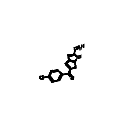 O=C(O)c1cc2cc(C(=O)c3ccc(Cl)cc3)sc2[nH]1